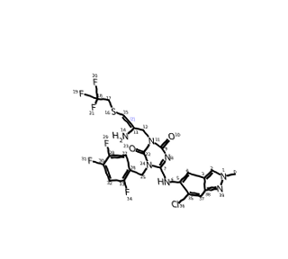 Cn1cc2cc(Nc3nc(=O)n(C/C(N)=C/SCC(F)(F)F)c(=O)n3Cc3cc(F)c(F)cc3F)c(Cl)cc2n1